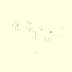 CC1(C#Cc2cnc(Nc3ccnc(-c4cnn(S(=O)(=O)C5CC5)c4)n3)cc2NC2CCC(O)CC2)COC1